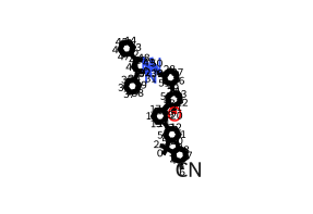 CC1(C)c2cc(C#N)ccc2-c2ccc(-c3cccc4c3oc3ccc(-c5cccc(-c6nc7c(-c8ccccc8)cc(-c8ccccc8)cn7n6)c5)cc34)cc21